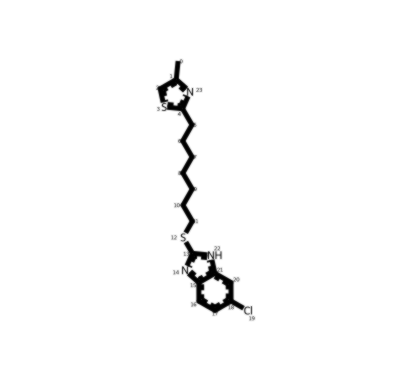 Cc1csc(CCCCCCCSc2nc3ccc(Cl)cc3[nH]2)n1